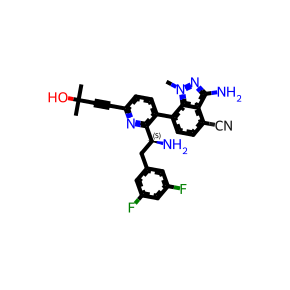 Cn1nc(N)c2c(C#N)ccc(-c3ccc(C#CC(C)(C)O)nc3[C@@H](N)Cc3cc(F)cc(F)c3)c21